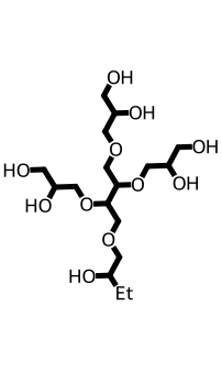 CCC(O)COCC(OCC(O)CO)C(COCC(O)CO)OCC(O)CO